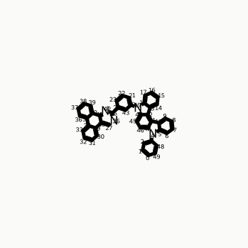 c1ccc(-n2c3ccccc3c3c4c5ccccc5n(-c5cccc(-c6ncc7c8ccccc8c8ccccc8c7n6)c5)c4ccc32)cc1